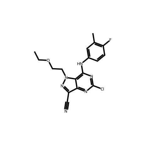 CCOCCn1nc(C#N)c2nc(Cl)nc(Nc3ccc(F)c(C)c3)c21